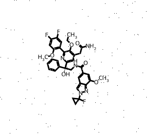 CCOc1c(CC(N)=O)cc([C@@](O)(CNC(=O)c2cc(OC)c3nn(C4(F)CC4)cc3c2)c2ccccc2)nc1-c1cc(F)c(F)cc1OC